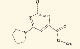 COC(=O)c1cc(N2CCCC2)nc(Cl)n1